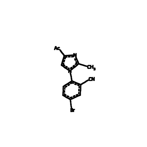 CC(=O)c1cn(-c2ccc(Br)cc2C#N)c(C)n1